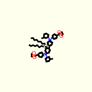 CCCCCCCC[Si]1(CCCCCCCC)c2cc(N(c3ccc(C4OCCO4)cc3)c3cccc(C)c3)ccc2-c2ccc(N(c3ccc(C4OCCO4)cc3)c3cccc(C)c3)cc21